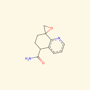 NC(=O)C1CCC2(CO2)c2ncccc21